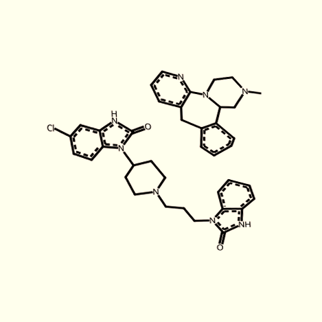 CN1CCN2c3ncccc3Cc3ccccc3C2C1.O=c1[nH]c2ccccc2n1CCCN1CCC(n2c(=O)[nH]c3cc(Cl)ccc32)CC1